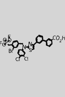 O=C(O)c1cccc(-c2cccc(-c3csc(N(Cc4ccc(CP(=O)(OF)OF)c(Br)c4)c4ccc(Cl)c(Cl)c4)n3)c2)c1